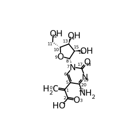 C=C(C(=O)O)c1cn([C@@H]2O[C@H](CO)[C@@H](O)[C@H]2O)c(=O)nc1N